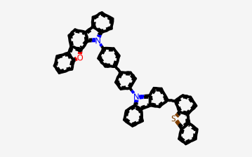 c1ccc2c(c1)oc1c2ccc2c3ccccc3n(-c3ccc(-c4ccc(-n5c6ccccc6c6cc(-c7cccc8c7sc7ccccc78)ccc65)cc4)cc3)c21